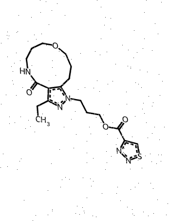 CCc1nn(CCCOC(=O)c2csnn2)c2c1C(=O)NCCCOCCC2